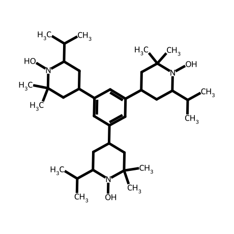 CC(C)C1CC(c2cc(C3CC(C(C)C)N(O)C(C)(C)C3)cc(C3CC(C(C)C)N(O)C(C)(C)C3)c2)CC(C)(C)N1O